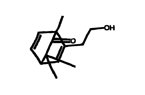 CC12C=CC(C=C1CCO)C(C)(C)C2=O